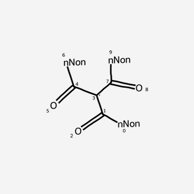 CCCCCCCCCC(=O)[C](C(=O)CCCCCCCCC)C(=O)CCCCCCCCC